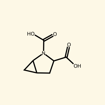 O=C(O)C1CC2CC2N1C(=O)O